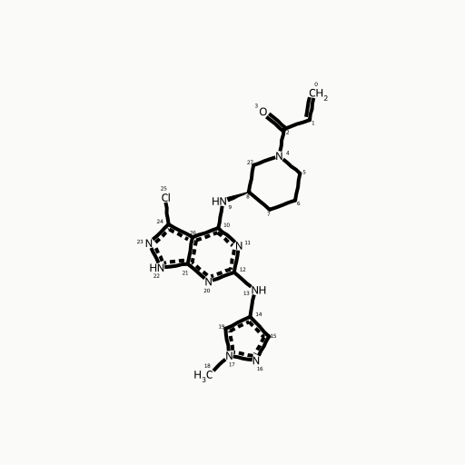 C=CC(=O)N1CCC[C@@H](Nc2nc(Nc3cnn(C)c3)nc3[nH]nc(Cl)c23)C1